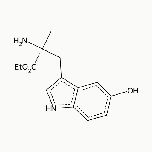 CCOC(=O)[C@@](C)(N)Cc1c[nH]c2ccc(O)cc12